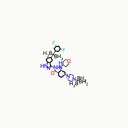 BC(B)(c1cc(F)cc(F)c1)c1ccc2[nH]nc(NC(=O)c3ccc(N4CCN(C(B)(B)B)CC4)cc3NC3CCOCC3)c2c1